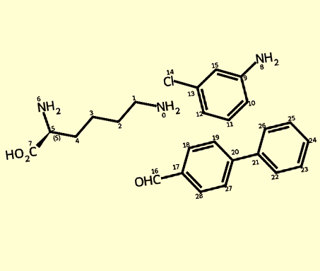 NCCCC[C@H](N)C(=O)O.Nc1cccc(Cl)c1.O=Cc1ccc(-c2ccccc2)cc1